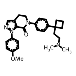 COc1ccc(-n2ncc3c2C(=O)N(c2ccc(C4(CCN(C)C)CCC4)cc2)CC3)cc1